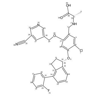 C[C@H](NCc1cc(Cl)c(O[C@H]2CCc3c(-c4ccccc4F)cccc32)cc1OCc1cncc(C#N)c1)C(=O)O